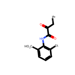 CCc1cccc(C(=O)O)c1NC(=O)C(=O)CC(C)C